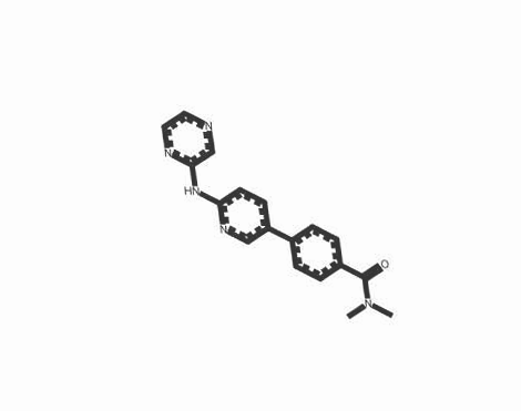 CN(C)C(=O)c1ccc(-c2ccc(Nc3cnccn3)nc2)cc1